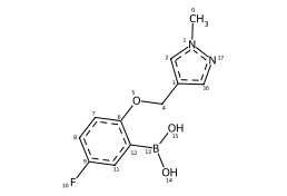 Cn1cc(COc2ccc(F)cc2B(O)O)cn1